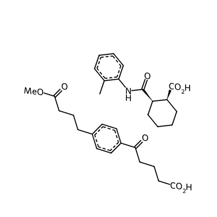 COC(=O)CCCc1ccc(C(=O)CCCC(=O)O)cc1.Cc1ccccc1NC(=O)[C@@H]1CCCC[C@@H]1C(=O)O